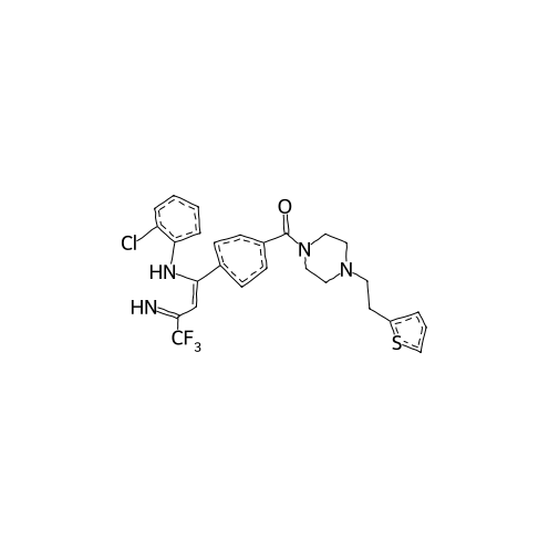 N=C(/C=C(\Nc1ccccc1Cl)c1ccc(C(=O)N2CCN(CCc3cccs3)CC2)cc1)C(F)(F)F